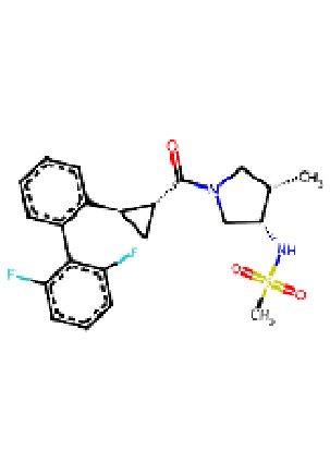 C[C@H]1CN(C(=O)[C@@H]2C[C@H]2c2ccccc2-c2c(F)cccc2F)C[C@H]1NS(C)(=O)=O